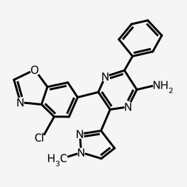 Cn1ccc(-c2nc(N)c(-c3ccccc3)nc2-c2cc(Cl)c3ncoc3c2)n1